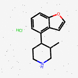 CC1CNCCC1c1cccc2occc12.Cl